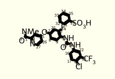 CNC(=O)c1cc(Oc2ccc(NC(=O)Nc3ccc(Cl)c(C(F)(F)F)c3)c(F)c2)ccn1.O=S(=O)(O)c1ccccc1